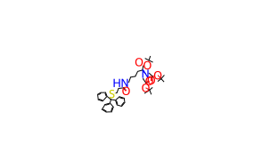 CC(C)(C)OC(=O)CN(CC(=O)OC(C)(C)C)C(CCCCNC(=O)CCSC(c1ccccc1)(c1ccccc1)c1ccccc1)C(=O)OC(C)(C)C